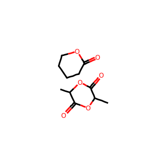 CC1OC(=O)C(C)OC1=O.O=C1CCCCO1